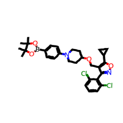 CC1(C)OB(c2ccc(N3CCC(OCc4c(-c5c(Cl)cccc5Cl)noc4C4CC4)CC3)cc2)OC1(C)C